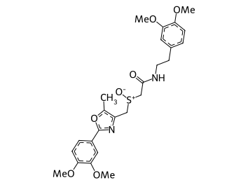 COc1ccc(CCNC(=O)C[S+]([O-])Cc2nc(-c3ccc(OC)c(OC)c3)oc2C)cc1OC